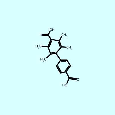 Cc1c(C)c(-c2ccc(C(=O)O)cc2)c(C)c(C)c1C(=O)O